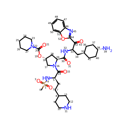 CS(=O)(=O)N[C@H](CCC1CCNCC1)C(=O)N1C[C@H](OC(=O)N2CCCCC2)C[C@H]1C(=O)NC(C[C@H]1CC[C@H](N)CC1)C(=O)c1nc2ccccc2o1